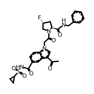 CC(=O)c1cn(CC(=O)N2C[C@H](F)C[C@H]2C(=O)NCc2ccccc2)c2ccc(C(=O)NS(=O)(=O)C3CC3)cc12